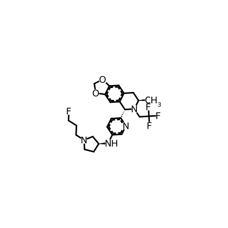 C[C@@H]1Cc2cc3c(cc2[C@@H](c2ccc(N[C@H]4CCN(CCCF)C4)cn2)N1CC(F)(F)F)OCO3